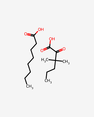 CCCC(C)(C)C(=O)C(=O)O.CCCCCCCC(=O)O